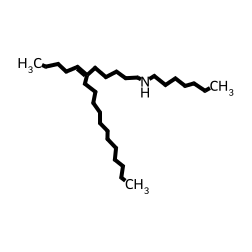 CCCC/C=C(\CCCCCCCCCCCC)CCCCCNCCCCCCC